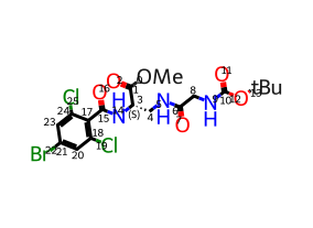 COC(=O)[C@H](CNC(=O)CNC(=O)OC(C)(C)C)NC(=O)c1c(Cl)cc(Br)cc1Cl